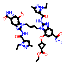 CCOC(=O)C1CC(Oc2cc(C(N)=O)cc3nc(NC(=O)c4cc(C)nn4CC)n(C/C=C/Cn4c(NC(=O)c5cc(C)nn5CC)nc5cc(C(N)=O)cc(OC)c54)c23)C1